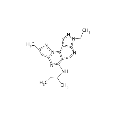 CCC(C)Nc1nc2cc(C)nn2c2c1cnc1c2cnn1CC